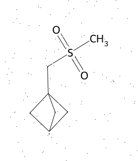 CS(=O)(=O)CC12C[C](C1)C2